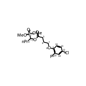 CCCC(OC(=O)CCCOc1ccc(Cl)cc1F)P(=O)(OC)OC